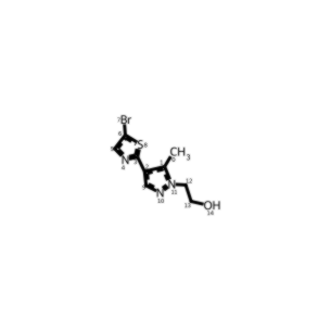 Cc1c(-c2ncc(Br)s2)cnn1CCO